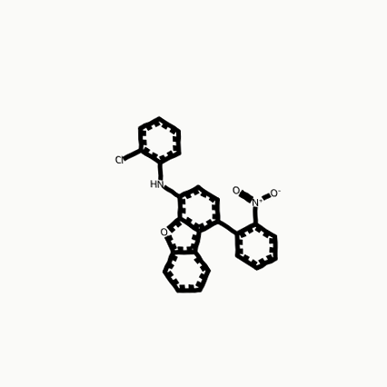 O=[N+]([O-])c1ccccc1-c1ccc(Nc2ccccc2Cl)c2oc3ccccc3c12